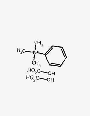 C[N+](C)(C)c1ccccc1.O=C(O)O.O=C(O)O